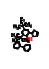 CC(C)(C)c1cc(C2=CC=CC2)c(O)c(C(C)(C)C)c1.c1ccc(-c2ccccc2)cc1